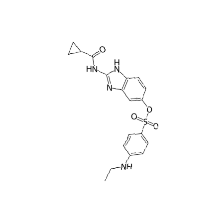 CCNc1ccc(S(=O)(=O)Oc2ccc3[nH]c(NC(=O)C4CC4)nc3c2)cc1